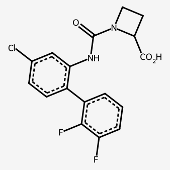 O=C(O)C1CCN1C(=O)Nc1cc(Cl)ccc1-c1cccc(F)c1F